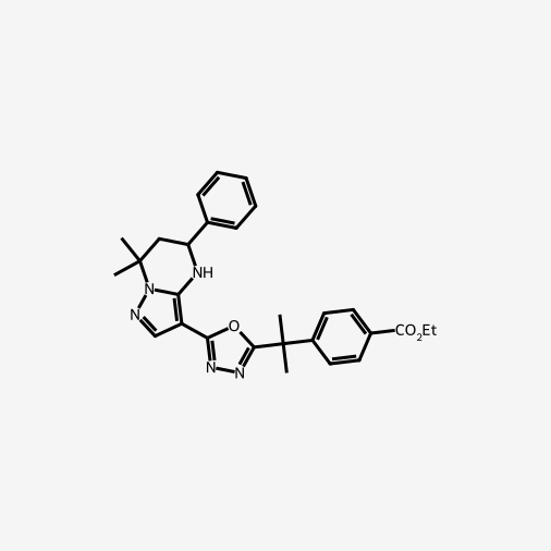 CCOC(=O)c1ccc(C(C)(C)c2nnc(-c3cnn4c3NC(c3ccccc3)CC4(C)C)o2)cc1